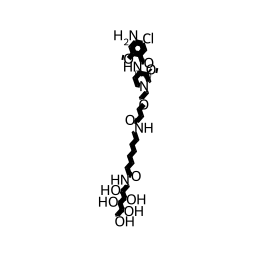 COc1cc(N)c(Cl)cc1C(=O)N[C@@H]1CCN(CCOCCC(=O)NCCCCCCCC(=O)NCC(O)C(O)C(O)C(O)CO)C[C@@H]1OC